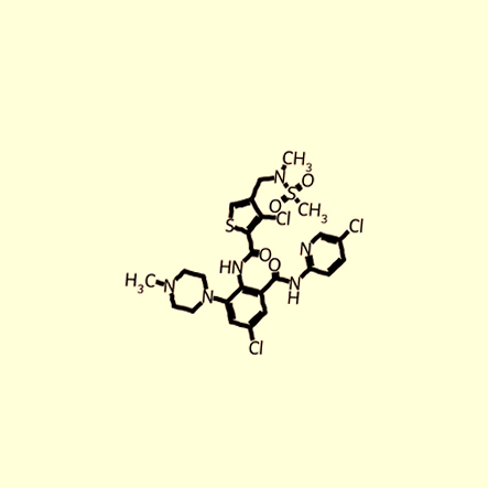 CN1CCN(c2cc(Cl)cc(C(=O)Nc3ccc(Cl)cn3)c2NC(=O)c2scc(CN(C)S(C)(=O)=O)c2Cl)CC1